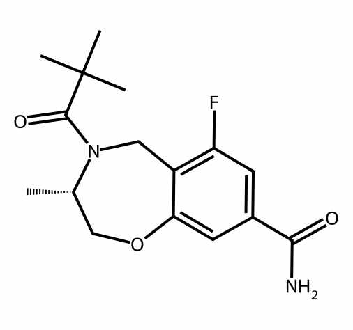 C[C@H]1COc2cc(C(N)=O)cc(F)c2CN1C(=O)C(C)(C)C